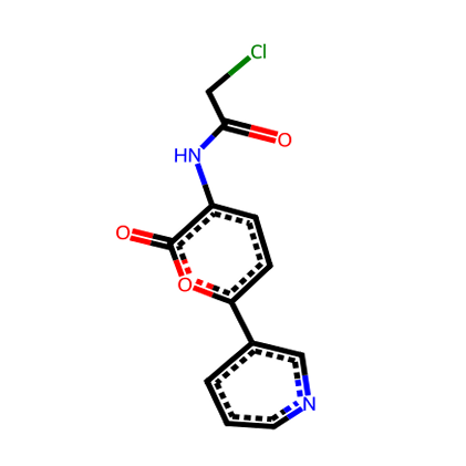 O=C(CCl)Nc1ccc(-c2cccnc2)oc1=O